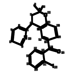 CC1(C)CC(c2ccccn2)c2cc(C(=O)c3ccccc3I)ccc2O1